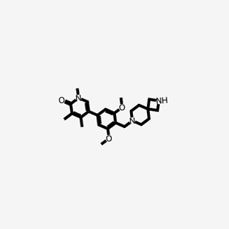 COc1cc(-c2cn(C)c(=O)c(C)c2C)cc(OC)c1CN1CCC2(CC1)CNC2